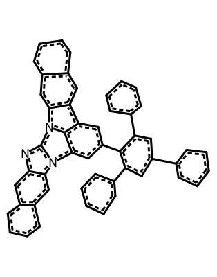 c1ccc(-c2cc(-c3ccccc3)c(-c3cc4c5cc6ccccc6cc5n5c4c(c3)n3c4cc6ccccc6cc4nc35)c(-c3ccccc3)c2)cc1